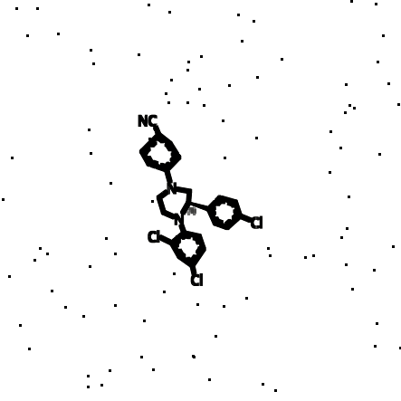 N#Cc1ccc(N2CCN(c3ccc(Cl)cc3Cl)[C@H](c3ccc(Cl)cc3)C2)cc1